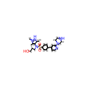 CC1=C(N(CCCO)S(=O)(=O)c2ccc(-c3ccnc(N4CCNCC4)c3)cc2)C(C)NN1C